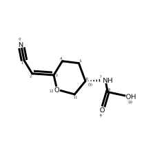 N#CC=C1CC[C@H](NC(=O)O)CO1